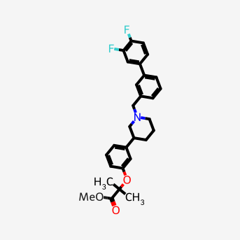 COC(=O)C(C)(C)Oc1cccc(C2CCCN(Cc3cccc(-c4ccc(F)c(F)c4)c3)C2)c1